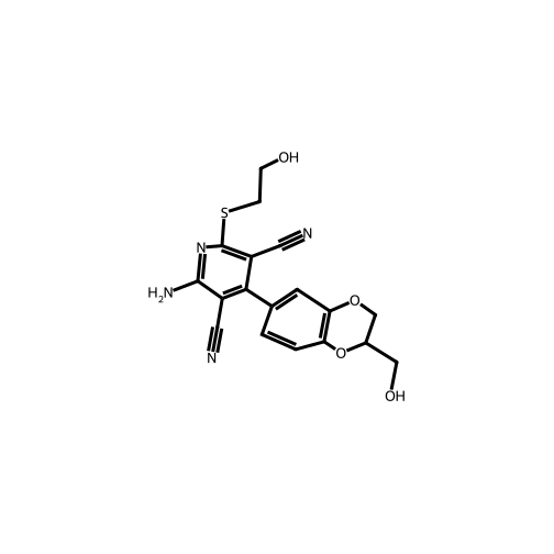 N#Cc1c(N)nc(SCCO)c(C#N)c1-c1ccc2c(c1)OCC(CO)O2